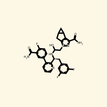 NC(=O)c1cc(-c2cccnc2[C@H](Cc2cc(F)cc(F)c2)NC(O)Cn2nc(C(N)=O)c3c2CC2CC32)ccc1F